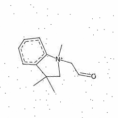 CC1(C)C[N+](C)(CC=O)c2ccccc21